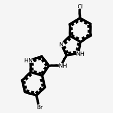 Clc1ccc2[nH]c(Nc3c[nH]c4ccc(Br)cc34)nc2c1